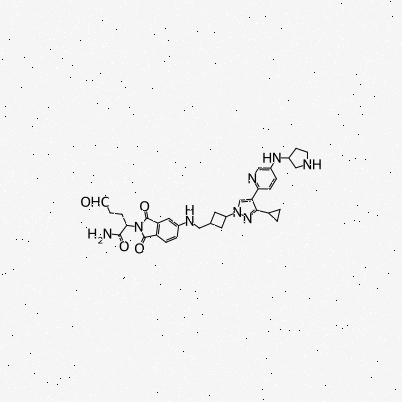 NC(=O)C(CCC=O)N1C(=O)c2ccc(NCC3CC(n4cc(-c5ccc(NC6CCNC6)cn5)c(C5CC5)n4)C3)cc2C1=O